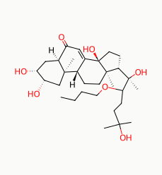 CCCCOC(CCC(C)(C)O)[C@](C)(O)[C@H]1CC[C@@]2(O)C3=CC(=O)[C@@H]4C[C@@H](O)[C@@H](O)C[C@]4(C)[C@H]3CC[C@]12C